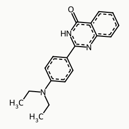 CCN(CC)c1ccc(-c2nc3ccccc3c(=O)[nH]2)cc1